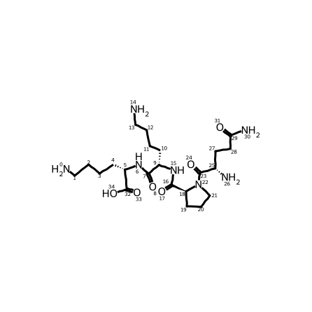 NCCCC[C@H](NC(=O)[C@H](CCCCN)NC(=O)[C@@H]1CCCN1C(=O)[C@@H](N)CCC(N)=O)C(=O)O